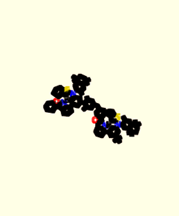 Cc1cc2c(cc1N1c3cc(-c4c(C)cc(Cc5ccc6c(c5)oc5c7cccc8c7n(c65)B5c6c-8cc(C(C)(C)C)cc6N(c6cc7c(cc6C)C(C)(C)CCC7(C)C)c6sc7ccccc7c65)cc4C)cc4c3B(c3c1sc1ccccc31)n1c3oc5ccccc5c3c3cccc-4c31)C(C)(C)CCC2(C)C